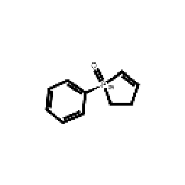 O=[P@]1(c2ccccc2)C=CCC1